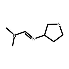 CN(C)/C=N/C1CC[N]C1